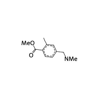 CNCc1ccc(C(=O)OC)c(C)c1